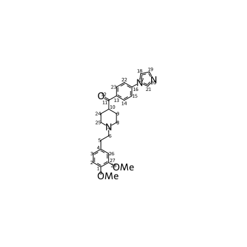 COc1ccc(CCN2CCC(C(=O)c3ccc(-n4ccnc4)cc3)CC2)cc1OC